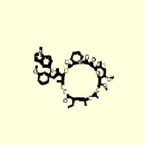 CCC1/C=C(\C)CC(C)CC(OC)C2OC(O)(C(=O)C(=O)N3CCCCC3C(=O)OC(C(C)=CC3(Nc4ccc5c(ccn5C)c4)CCCC(OC)C3)C(C)CCC1=O)C(C)CC2OC